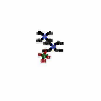 CCCCCC[N+](CCCCCC)(CCCCCC)CCCCCC.CCCC[N+](CCCC)(CCCC)CCCC.[O-][Cl+3]([O-])([O-])O